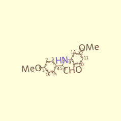 COc1ccc(C(C=O)Nc2cccc(OC)c2)cc1